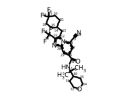 CC(C)(NC(=O)c1cc(C#N)n2c(CC3CCC(F)(F)CC3)c(C(F)(F)F)nc2c1)C1CCOCC1